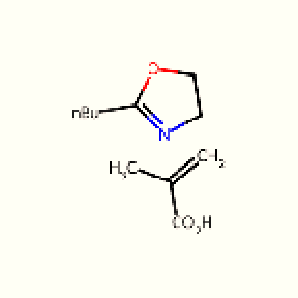 C=C(C)C(=O)O.CCCCC1=NCCO1